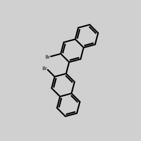 Brc1cc2ccccc2cc1-c1cc2ccccc2cc1Br